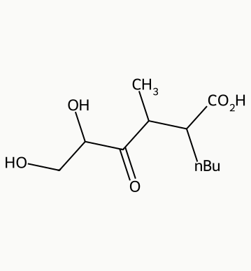 CCCCC(C(=O)O)C(C)C(=O)C(O)CO